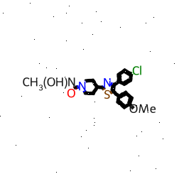 COc1ccc(-c2sc(C3CCN(C(=O)N(C)O)CC3)nc2-c2ccc(Cl)cc2)cc1